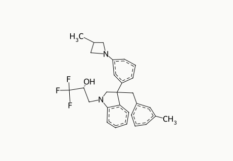 Cc1cccc(CC2(c3cccc(N4CC(C)C4)c3)CN(C[C@@H](O)C(F)(F)F)c3ccccc32)c1